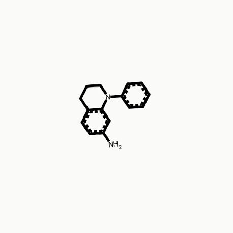 Nc1ccc2c(c1)N(c1ccccc1)CCC2